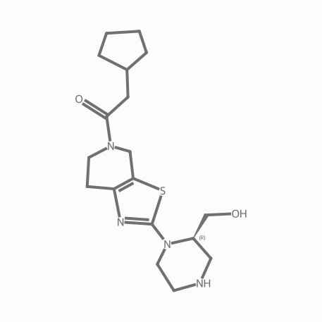 O=C(CC1CCCC1)N1CCc2nc(N3CCNC[C@@H]3CO)sc2C1